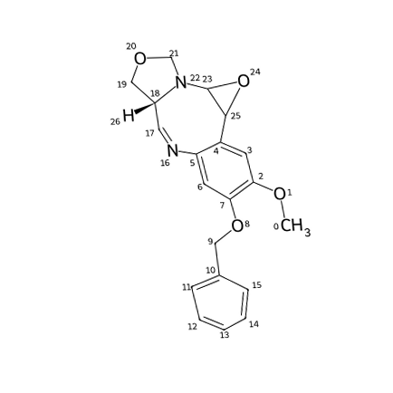 COc1cc2c(cc1OCc1ccccc1)/N=C\[C@@H]1COCN1C1OC21